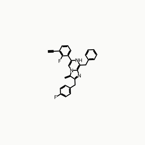 C#Cc1cccc(C2=Cn3c(nc(Cc4ccc(F)cc4)c3=C)=C(Cc3ccccc3)N2)c1F